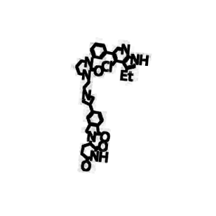 CCc1c[nH]c2ncc(-c3cccc(N4CCCN(CCN5CC(c6ccc7c(c6)CN(C6CCC(=O)NC6=O)C7=O)C5)C4=O)c3)c(Cl)c12